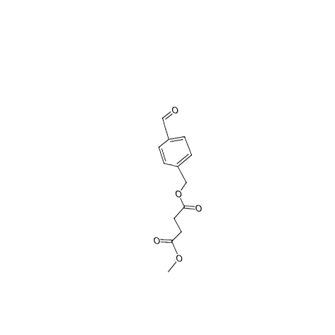 COC(=O)CCC(=O)OCc1ccc(C=O)cc1